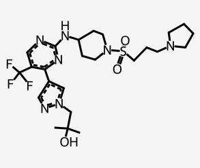 CC(C)(O)Cn1cc(-c2nc(NC3CCN(S(=O)(=O)CCCN4CCCC4)CC3)ncc2C(F)(F)F)cn1